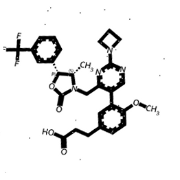 COc1ccc(CCC(=O)O)cc1-c1cnc(N2CCC2)nc1CN1C(=O)O[C@H](c2cccc(C(F)(F)F)c2)[C@@H]1C